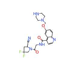 N#CC1CC(F)(F)CN1C(=O)CNC(=O)c1ccnc2ccc(OCN3CCNCC3)cc12